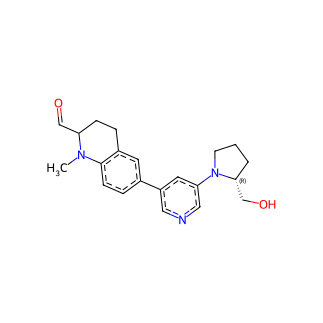 CN1c2ccc(-c3cncc(N4CCC[C@@H]4CO)c3)cc2CCC1C=O